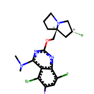 CN(C)c1nc(OC[C@@]23CCCN2C[C@H](F)C3)nc2c(F)cc(I)c(Br)c12